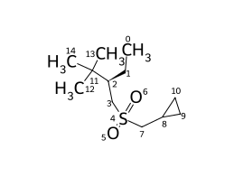 CC[C@@H](CS(=O)(=O)CC1CC1)C(C)(C)C